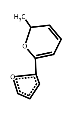 CC1C=CC=C(c2ccco2)O1